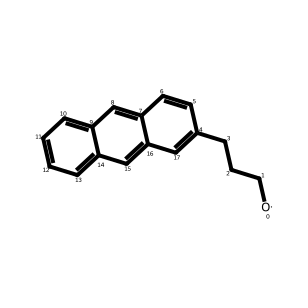 [O]CCCc1ccc2cc3ccccc3cc2c1